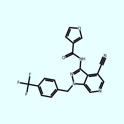 N#Cc1cncc2c1c(NC(=O)c1ccoc1)nn2Cc1ccc(C(F)(F)F)cc1